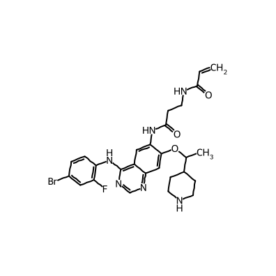 C=CC(=O)NCCC(=O)Nc1cc2c(Nc3ccc(Br)cc3F)ncnc2cc1OC(C)C1CCNCC1